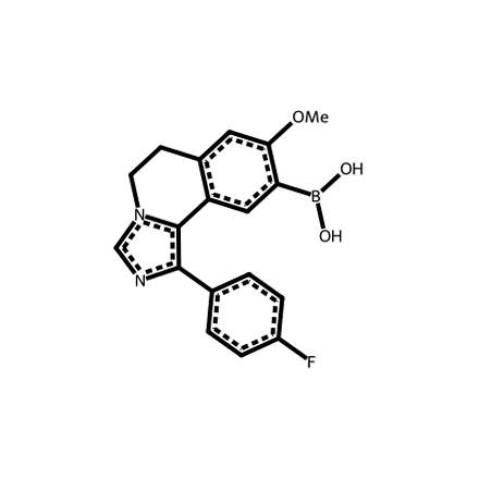 COc1cc2c(cc1B(O)O)-c1c(-c3ccc(F)cc3)ncn1CC2